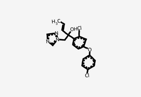 CC=CC(O)(Cn1cncn1)c1ccc(Oc2ccc(Cl)cc2)cc1Cl